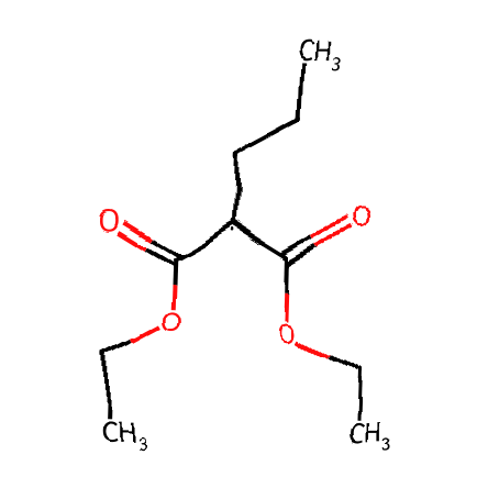 CCC[C](C(=O)OCC)C(=O)OCC